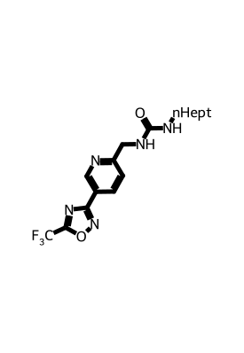 CCCCCCCNC(=O)NCc1ccc(-c2noc(C(F)(F)F)n2)cn1